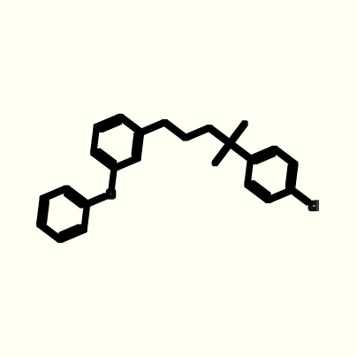 CC(C)(CCCc1cccc(Oc2ccccc2)c1)c1ccc(Cl)cc1